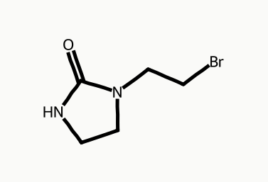 O=C1NCCN1CCBr